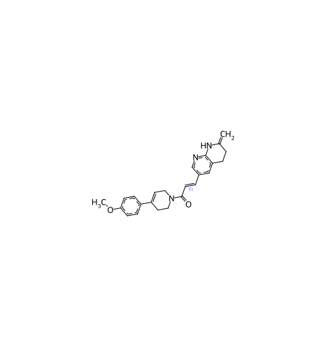 C=C1CCc2cc(/C=C/C(=O)N3CC=C(c4ccc(OC)cc4)CC3)cnc2N1